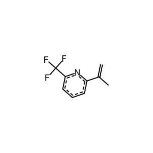 C=C(C)c1cccc(C(F)(F)F)n1